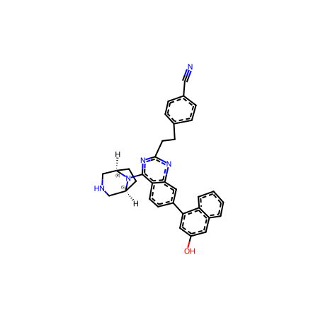 N#Cc1ccc(CCc2nc(N3[C@@H]4CC[C@H]3CNC4)c3ccc(-c4cc(O)cc5ccccc45)cc3n2)cc1